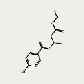 CCOC(=O)CC(C)OC(=O)c1ccc(N)cc1